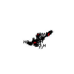 COC(=O)N[C@H](C(=O)N[C@@H](Cc1ccc(C#Cc2ccc(N3CC4CCC(C3)N4C3COC3)nc2)cc1)[C@@H](O)CN(Cc1c(F)cc(-c2ccn(CC(C)(C)O)n2)cc1F)NC(=O)[C@@H](NC(=O)O)C(C)(C)C(F)(F)F)C(C)(C)C(F)(F)F